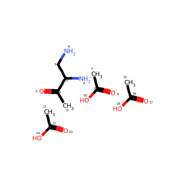 CC(=O)C(N)CN.CC(=O)O.CC(=O)O.CC(=O)O